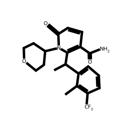 Cc1c(C(C)c2c(C(N)=O)ccc(=O)n2C2CCOCC2)cccc1C(F)(F)F